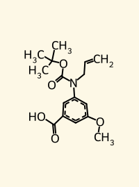 C=CCN(C(=O)OC(C)(C)C)c1cc(OC)cc(C(=O)O)c1